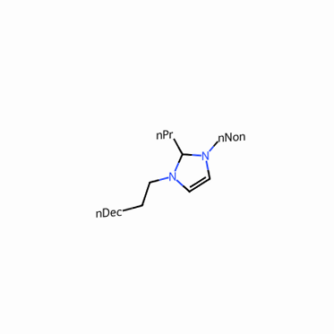 CCCCCCCCCCCCN1C=CN(CCCCCCCCC)C1CCC